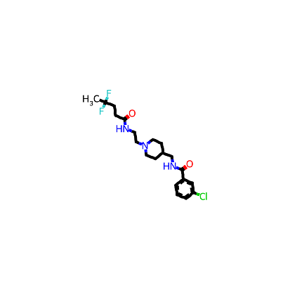 CC(F)(F)CCC(=O)NCCN1CCC(CNC(=O)c2cccc(Cl)c2)CC1